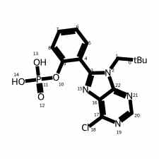 CC(C)(C)Cn1c(-c2ccccc2OP(=O)(O)O)nc2c(Cl)ncnc21